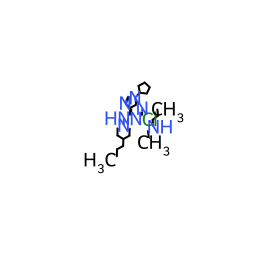 CCCCC1CCN(Nc2nc(Cl)nc3c2ncn3C2CCCC2)CC1.CCCNCCC